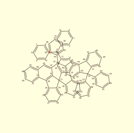 c1ccc(N(c2ccccc2)c2ccc3c(c2)C2(c4ccccc4-3)c3ccccc3-c3c2c(N(c2ccccc2)c2ccc4c(c2)-c2ccccc2C4(c2ccccc2)c2ccccc2)cc2ccccc32)cc1